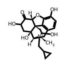 C[N@+]1(CC2CC2)C(O)C[C@]23c4c5ccc(O)c4O[C@H]2C(=O)C(O)C[C@@]3(O)[C@H]1C5